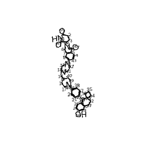 O=C1CC[C@H](N2Cc3cc(N4CCN(CC5CCN(c6ccc([C@H]7c8ccc(O)cc8CCC78CCC8)cc6)CC5)CC4)ccc3C2=O)C(=O)N1